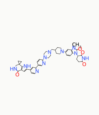 Cn1c(=O)n(C2CCC(=O)NC2=O)c2ccc(N3CCC(CN4CCN(c5ccc(-c6cc(-c7cc8c([nH]7)C7(CC7)CNC8=O)ccn6)cn5)CC4)CC3)cc21